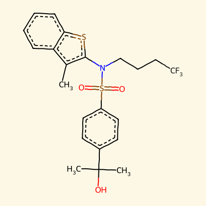 Cc1c(N(CCCC(F)(F)F)S(=O)(=O)c2ccc(C(C)(C)O)cc2)sc2ccccc12